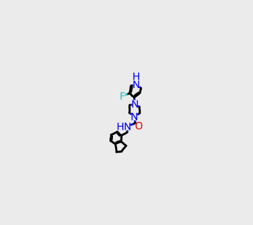 O=C(NCc1cccc2c1CCC2)N1CCN(C2=CCNC=C2F)CC1